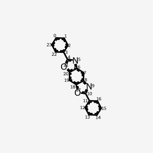 c1ccc(-c2nc3cc4nc(-c5ccccc5)oc4cc3o2)cc1